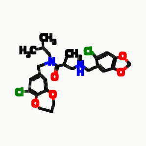 CC(C)CN(Cc1cc(Cl)c2c(c1)OCCCO2)C(=O)C(C)CNCc1cc2c(cc1Cl)OCO2